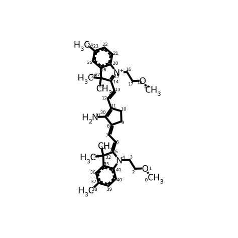 COCCN1/C(=C/C=C2\CCC(/C=C/C3=[N+](CCOC)c4ccc(C)cc4C3(C)C)=C2N)C(C)(C)c2cc(C)ccc21